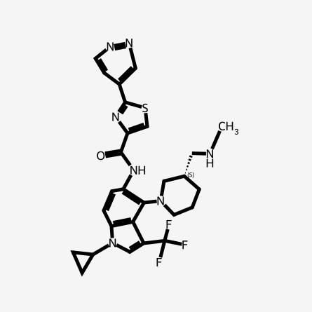 CNC[C@@H]1CCCN(c2c(NC(=O)c3csc(-c4ccnnc4)n3)ccc3c2c(C(F)(F)F)cn3C2CC2)C1